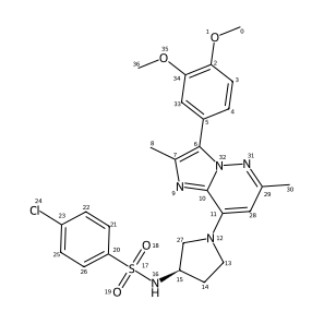 COc1ccc(-c2c(C)nc3c(N4CC[C@@H](NS(=O)(=O)c5ccc(Cl)cc5)C4)cc(C)nn23)cc1OC